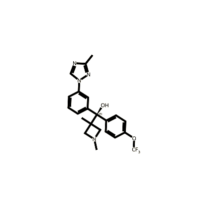 Cc1ncn(-c2cccc([C@](O)(c3ccc(OC(F)(F)F)cc3)C3(C)CN(C)C3)c2)n1